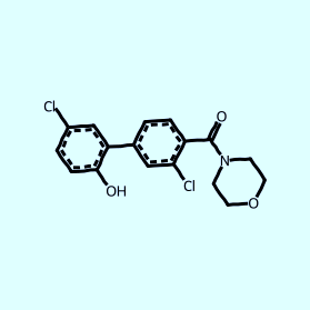 O=C(c1ccc(-c2cc(Cl)ccc2O)cc1Cl)N1CCOCC1